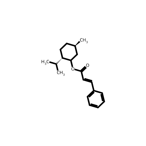 CC(C)[C@@H]1CC[C@@H](C)CC1OC(=O)/C=C/c1ccccc1